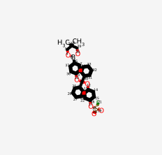 CC1(C)COB(c2ccc(OC(Oc3ccc(OS(=O)(=O)F)cc3)(c3ccccc3)c3ccccc3)cc2)OC1